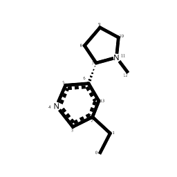 CCc1cncc([C@@H]2CCCN2C)c1